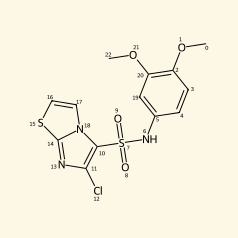 COc1ccc(NS(=O)(=O)c2c(Cl)nc3sccn23)cc1OC